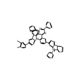 Cc1ccc(-c2ccc3c(c2)c2ccccc2n3-c2ccc(-c3ccc4c5ccccc5n(-c5ccccc5)c4c3)cc2-c2nc(-c3ccccc3)nc(-c3ccccc3)n2)cc1C